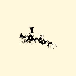 CCC(CC)Oc1ccc2nn(CC(=O)c3cc(OCC4CC4)c(OCC4CC4)c(C(C)(C)C)c3)c(=N)n2n1